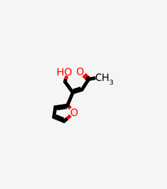 CC(=O)C=C(CO)c1ccco1